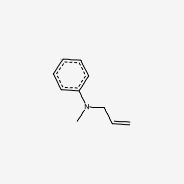 C=CCN(C)c1cc[c]cc1